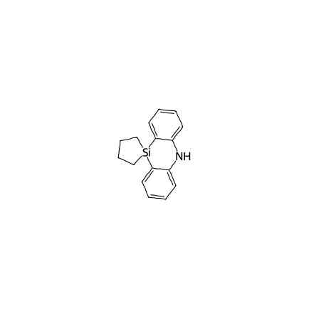 c1ccc2c(c1)Nc1ccccc1[Si]21CCCC1